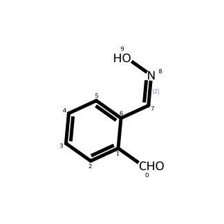 O=Cc1ccccc1/C=N\O